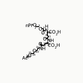 CCCOCCOCC(=O)N[C@@H](CCC(=O)N[C@@H](CCC(=O)NCCOCCOCC(C)=O)C(=O)O)C(=O)O